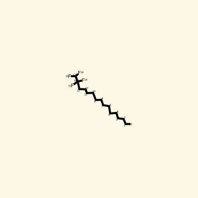 [CH2]CCCCCCCCCCCCCC(F)(F)[C](F)F